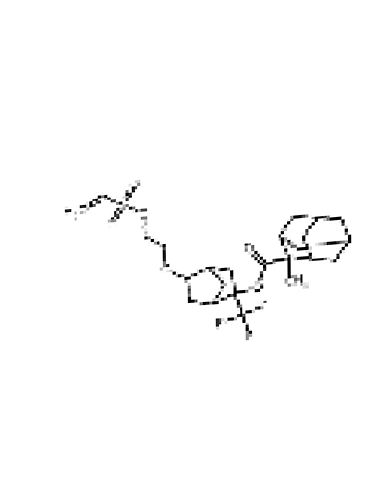 C=CS(=O)(=O)OCCOC1CC2CC1CC2(OC(=O)C1(C)C2CC3CC(C2)CC1C3)C(F)(F)F